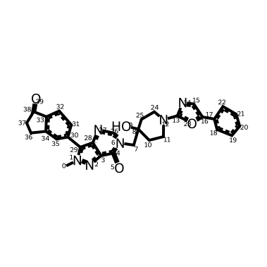 Cn1nc2c(=O)n(CC3(O)CCN(c4ncc(-c5ccccc5)o4)CC3)cnc2c1-c1ccc2c(c1)CCC2=O